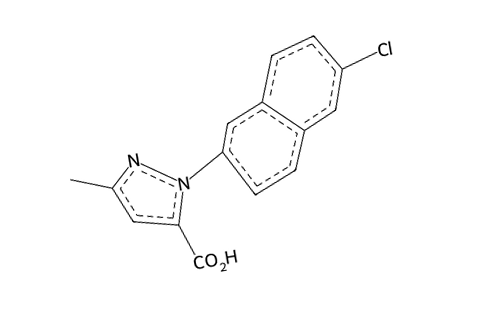 Cc1cc(C(=O)O)n(-c2ccc3cc(Cl)ccc3c2)n1